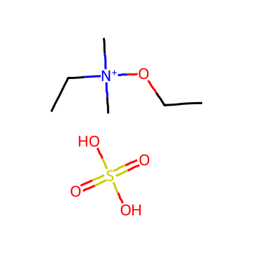 CCO[N+](C)(C)CC.O=S(=O)(O)O